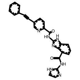 O=C(Nc1nc2c(C(=O)Nc3ncc[nH]3)cccc2[nH]1)c1ccc(C#Cc2ccccc2)cn1